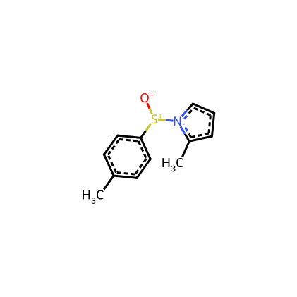 Cc1ccc([S+]([O-])n2cccc2C)cc1